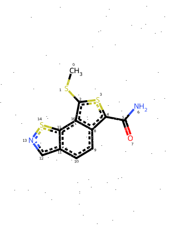 CSc1sc(C(N)=O)c2ccc3cnsc3c12